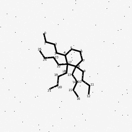 CCCCC1CCCC(CCCC)(CCCC)C1(CCCC)CCCC